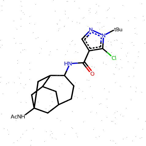 CC(=O)NC12CC3CCC(NC(=O)c4cnn(C(C)(C)C)c4Cl)C(C1)C(C3)C2